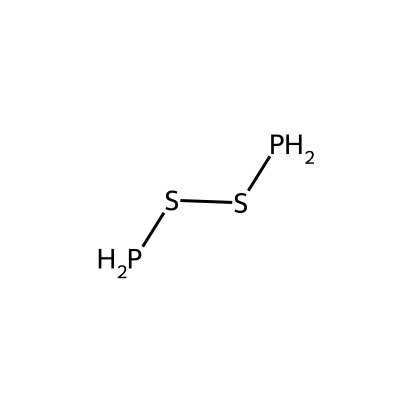 PSSP